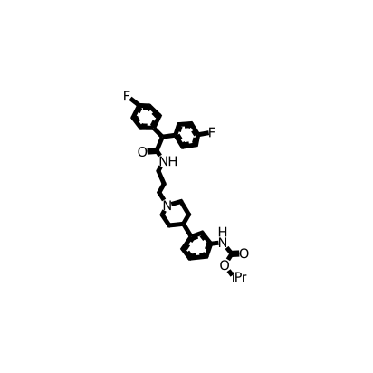 CC(C)OC(=O)Nc1cccc(C2CCN(CCCNC(=O)C(c3ccc(F)cc3)c3ccc(F)cc3)CC2)c1